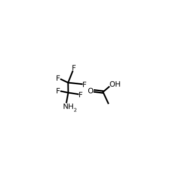 CC(=O)O.NC(F)(F)C(F)(F)F